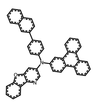 c1ccc2cc(-c3ccc(N(c4cnc5c(c4)oc4ccccc45)c4ccc5c6ccccc6c6ccccc6c5c4)cc3)ccc2c1